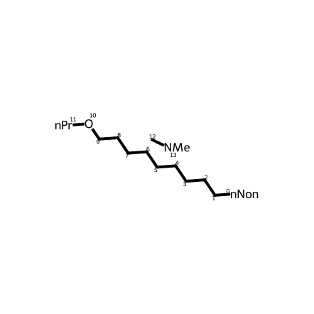 CCCCCCCCCCCCCCCCCCOCCC.CNC